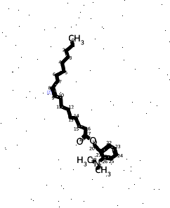 CCCCCCCC/C=C\CCCCCCCC(=O)OCc1ccccc1N(C)C